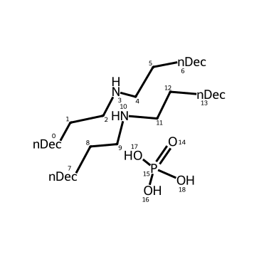 CCCCCCCCCCCCNCCCCCCCCCCCC.CCCCCCCCCCCCNCCCCCCCCCCCC.O=P(O)(O)O